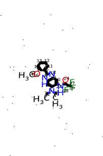 CCN(CC)c1cc2[nH]c(-c3ccccc3OC)nc2cc1NC(=O)C(F)(F)F